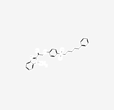 Cn1c(C(=O)COc2ccc(S(=O)(=O)CCCCCc3ccccc3)cc2)nc2ccccc21